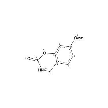 COc1ccc2c(c1)OS(=O)NC2